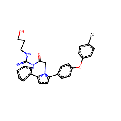 CC(=O)c1ccc(Oc2ccc(-c3ccc(-c4ccccc4)n3CC(=O)NC(=N)NCCCO)cc2)cc1